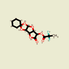 CC(F)(F)C(=O)OC1C(=O)OC2C3OC4(CCCCC4)OC3OC12